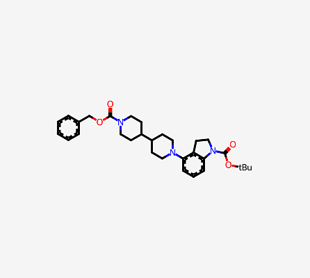 CC(C)(C)OC(=O)N1CCc2c(N3CCC(C4CCN(C(=O)OCc5ccccc5)CC4)CC3)cccc21